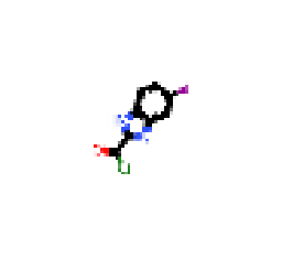 O=C(Cl)c1nc2cc(I)ccc2[nH]1